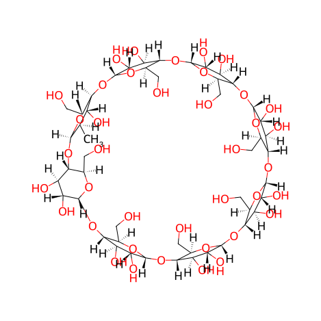 C[C@H]1[C@H]2O[C@H]3[C@H](O)[C@@H](O)[C@@H](O[C@H]4[C@H](O)[C@@H](O)[C@@H](O[C@H]5[C@H](O)[C@@H](O)[C@@H](O[C@H]6[C@H](O)[C@@H](O)[C@@H](O[C@H]7[C@H](O)[C@@H](O)[C@@H](O[C@H]8[C@H](O)[C@@H](O)[C@@H](O[C@H]9[C@H](O)[C@@H](O)[C@@H](O[C@@H]([C@@H]1O)[C@@H](CO)O2)O[C@@H]9CO)O[C@@H]8CO)O[C@@H]7CO)O[C@@H]6CO)O[C@@H]5CO)O[C@@H]4CO)O[C@@H]3CO